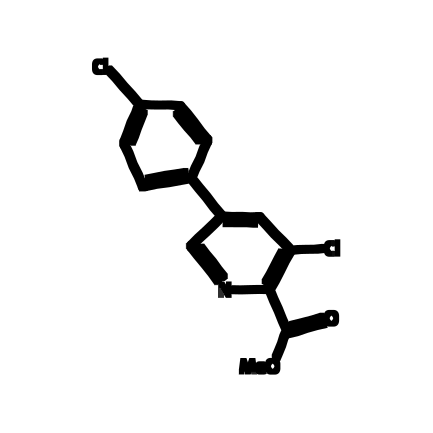 COC(=O)c1ncc(-c2ccc(Cl)cc2)cc1Cl